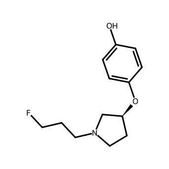 Oc1ccc(O[C@H]2CCN(CCCF)C2)cc1